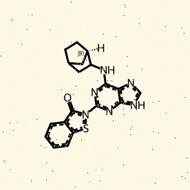 O=c1c2ccccc2sn1-c1nc(NC2CC3CC[C@@H]2C3)c2nc[nH]c2n1